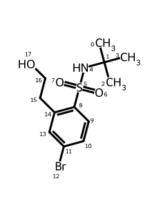 CC(C)(C)NS(=O)(=O)c1ccc(Br)cc1CCO